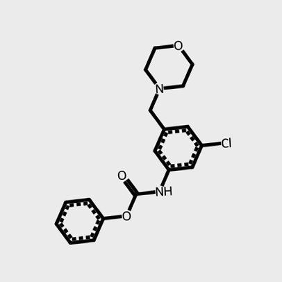 O=C(Nc1cc(Cl)cc(CN2CCOCC2)c1)Oc1ccccc1